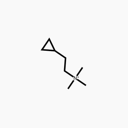 C[N+](C)(C)CCC1CC1